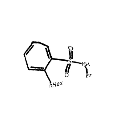 CCCCCCc1ccccc1S(=O)(=O)NCC